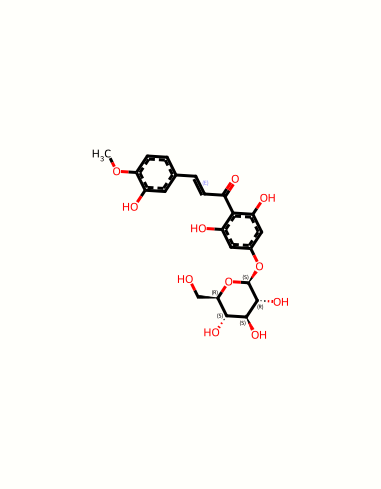 COc1ccc(/C=C/C(=O)c2c(O)cc(O[C@@H]3O[C@H](CO)[C@@H](O)[C@H](O)[C@H]3O)cc2O)cc1O